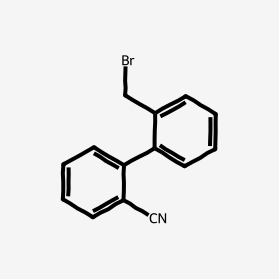 N#Cc1ccccc1-c1ccccc1CBr